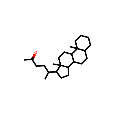 CC(=O)CCC(C)C1CCC2C3CCC4CCCCC4(C)C3CCC12C